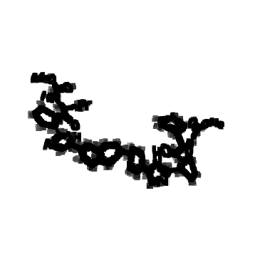 COC(=O)NC(C(=O)N1CCC[C@H]1c1ncc(-c2ccc(-c3ccc4cc(-c5cnc([C@@H]6CCCN6C(=O)[C@@H](NC(=O)OC)C(C)C)[nH]5)ccc4c3)cc2)[nH]1)c1ccsc1